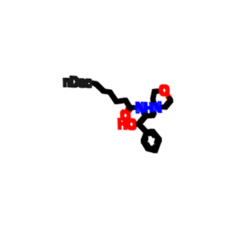 CCCCCCCCCCCCCCCC(=O)NC(CN1CCOCC1)C(O)c1ccccc1